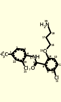 Cc1ccc(NC(=O)c2cc(Cl)ccc2OCCCN)c(Cl)c1